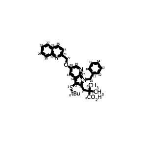 CC(C)(C)Sc1c(CC(C)(C)C(=O)O)n(Cc2ccccc2)c2ncc(OCc3ccc4ccccc4n3)cc12